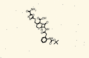 CC(C)(C)OC(=O)Nc1ccccc1CC(=O)NC1C(=O)N2C(C(=O)O)=C(CSc3nnc(C(N)=O)o3)CS[C@H]12